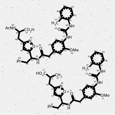 COc1cc(CC(=O)NC(CC(C)C)c2cc(CC(C)C(=O)O)no2)ccc1NC(=O)Nc1ccccc1C.COc1cc(CC(=O)NC(CC(C)C)c2cc(CC(NC(C)=O)C(=O)O)no2)ccc1NC(=O)Nc1ccccc1C